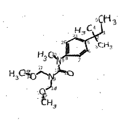 CCC(C)(C)c1ccc(N(C)C(=O)N(COC)COC)cc1